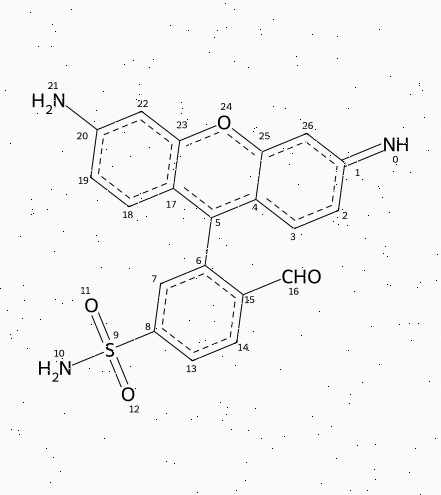 N=c1ccc2c(-c3cc(S(N)(=O)=O)ccc3C=O)c3ccc(N)cc3oc-2c1